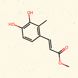 COC(=O)C=Cc1ccc(O)c(O)c1C